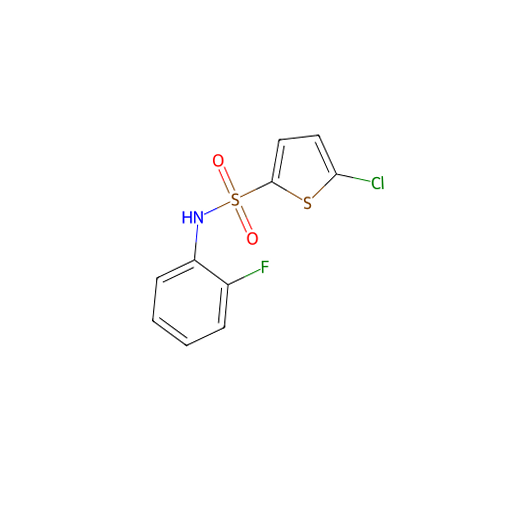 O=S(=O)(Nc1ccccc1F)c1ccc(Cl)s1